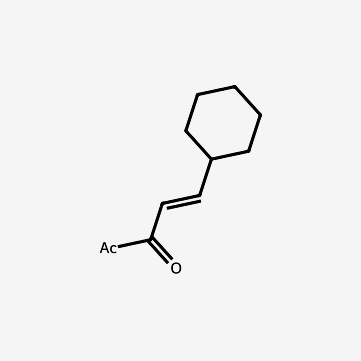 CC(=O)C(=O)C=CC1CCCCC1